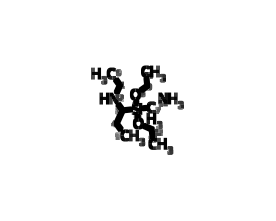 CCNC(CC)[Si](C)(OCC)OCC.N